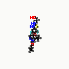 CC(C)(CO)CNC(=S)Nc1cc(F)c(Oc2ccnc3c2c(C2(C(F)(F)F)CC2)cn3COCC[Si](C)(C)C)c(F)c1